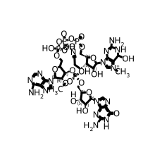 CO[C@@H]1[C@H](OP(=O)(O)OC[C@H]2O[C@@H](n3cnc4c(=O)[nH]c(N)nc43)[C@H](O)[C@@H]2O)C(COP(=O)(O)OP(=O)(O)OP(=O)(O)OC[C@H]2OC(n3c[n+](C)c4c3N=C(N)NC4O)[C@H](O)[C@@H]2CCC#N)O[C@H]1n1cnc2c(N)ncnc21